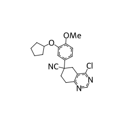 COc1ccc(C2(C#N)CCc3ncnc(Cl)c3C2)cc1OC1CCCC1